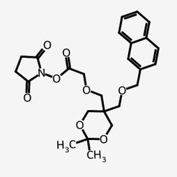 CC1(C)OCC(COCC(=O)ON2C(=O)CCC2=O)(COCc2ccc3ccccc3c2)CO1